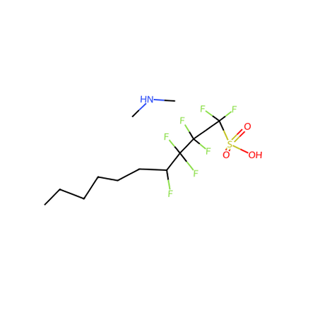 CCCCCCC(F)C(F)(F)C(F)(F)C(F)(F)S(=O)(=O)O.CNC